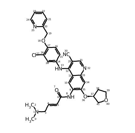 CN(C)C/C=C/C(=O)Nc1cc2c(Nc3ccc(OCc4ccccn4)c(Cl)c3)c(C#N)cnc2cc1O[C@H]1CCOC1